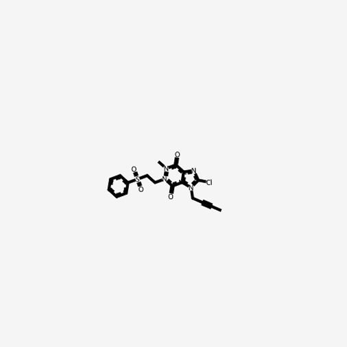 CC#CCn1c(Cl)nc2c(=O)n(C)n(CCS(=O)(=O)c3ccccc3)c(=O)c21